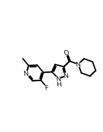 Cc1cc(-c2cc(C(=O)N3CCCCC3)n[nH]2)c(F)cn1